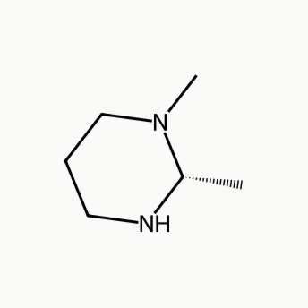 C[C@@H]1NCCCN1C